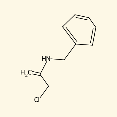 C=C(CCl)NCc1ccccc1